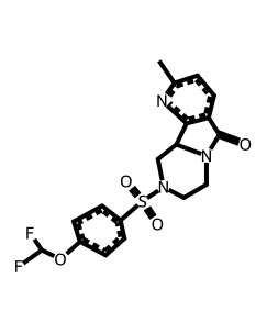 Cc1ccc2c(n1)C1CN(S(=O)(=O)c3ccc(OC(F)F)cc3)CCN1C2=O